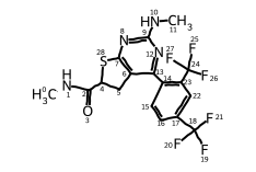 CNC(=O)C1Cc2c(nc(NC)nc2-c2ccc(C(F)(F)F)cc2C(F)(F)F)S1